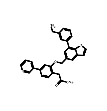 COC(=O)Cc1ccc(-c2cccnc2)cc1OCc1cc(-c2cccc(CN)c2)c2occc2c1